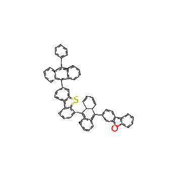 C1=CC2C(c3ccc4c(c3)oc3ccccc34)=c3ccccc3=C(c3cccc4c3sc3cc(-c5c6ccccc6c(-c6ccccc6)c6ccccc56)ccc34)C2C=C1